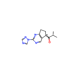 CC(C)C(=O)[C@@H]1CCc2nc(-n3cncn3)ncc21